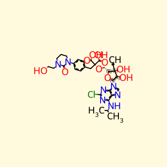 C#C[C@@]1(O)[C@@H](COC(Cc2ccc(N3CCCN(CCO)C3=O)cc2)(C(=O)O)C(=O)O)O[C@@H](n2cnc3c(NC(C)C)nc(Cl)nc32)[C@@H]1O